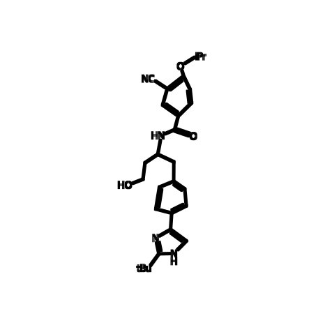 CC(C)Oc1ccc(C(=O)NC(CCO)Cc2ccc(-c3c[nH]c(C(C)(C)C)n3)cc2)cc1C#N